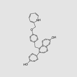 Oc1ccc(-c2ccc3cc(O)ccc3c2Cc2ccc(OCC3=CC=CC=CN3)cc2)cc1